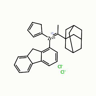 C/[C](=[Zr+2](\[C]1=CC=CC1)[c]1cccc2c1Cc1ccccc1-2)C12CC3CC(CC(C3)C1)C2.[Cl-].[Cl-]